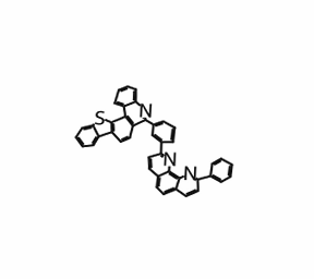 c1ccc(-c2ccc3ccc4ccc(-c5cccc(-c6nc7ccccc7c7c6ccc6c8ccccc8sc67)c5)nc4c3n2)cc1